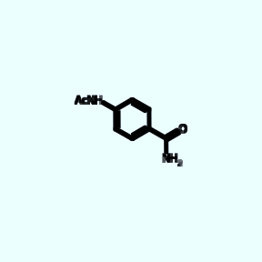 [CH2]C(=O)Nc1ccc(C(N)=O)cc1